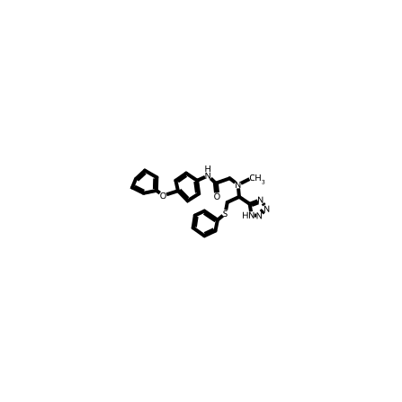 CN(CC(=O)Nc1ccc(Oc2ccccc2)cc1)C(CSc1ccccc1)c1nnn[nH]1